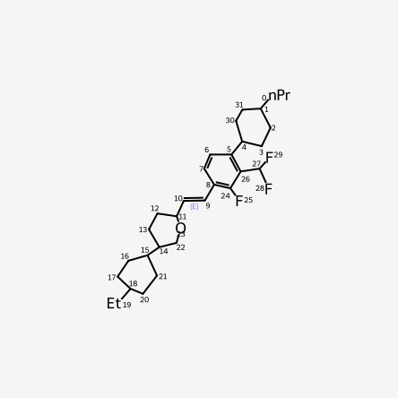 CCCC1CCC(c2ccc(/C=C/C3CCC(C4CCC(CC)CC4)CO3)c(F)c2C(F)F)CC1